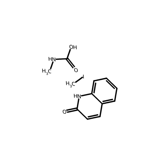 CI.CNC(=O)O.O=c1ccc2ccccc2[nH]1